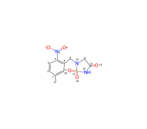 Cc1ccc([N+](=O)[O-])c(CN2CC(=O)NS2(=O)=O)c1